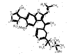 C=C(c1c(/N=C(/C)N)[nH]c2cc(-c3c(C)noc3C)c(OC)cc12)C1C=CN=C(C(C)(C)O[Si](C)(C)C(C)(C)C)C1